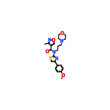 COc1ccc(-c2csc(N(CCCN3CCOCC3)C(=O)c3conc3C)n2)cc1